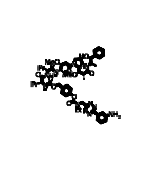 CC[C@H](C)[C@@H]([C@@H](CC(=O)N1CCC[C@H]1[C@H](OC)[C@@H](C)C(=O)N[C@H](C)[C@@H](O)c1ccccc1)OC)N(C)C(=O)[C@@H](NC(=O)[C@H](C(C)C)N(C)C(=O)OCc1ccc(OC(=O)N(CC)Cc2nnc(-c3cccc(N)c3)nn2)cc1)C(C)C